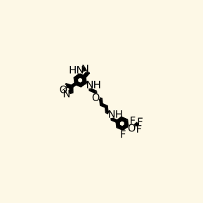 Fc1cc(CNCCCCOCCNc2cc(-c3cnoc3)cc3[nH]ncc23)ccc1OC(F)(F)F